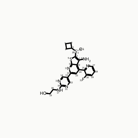 Nc1c([S@@+]([O-])C2CCC2)sc2nc(-c3cnc(NCCO)nc3)cc(-c3ncccc3F)c12